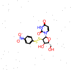 O=c1ccn([C@@H]2O[C@H](CO)[C@@H](O)[C@H]2SSc2ccc([N+](=O)[O-])cc2)c(=O)[nH]1